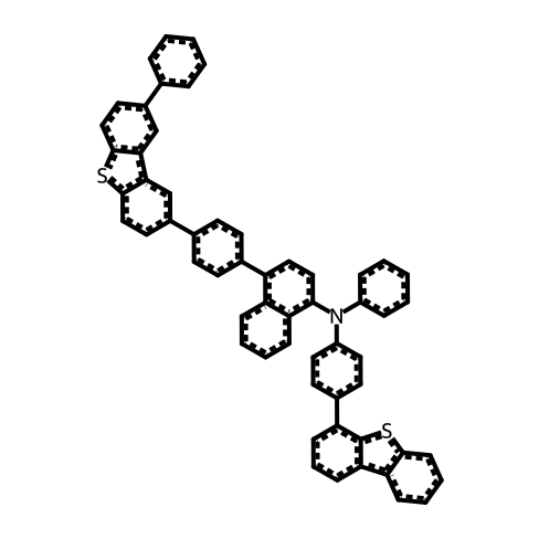 c1ccc(-c2ccc3sc4ccc(-c5ccc(-c6ccc(N(c7ccccc7)c7ccc(-c8cccc9c8sc8ccccc89)cc7)c7ccccc67)cc5)cc4c3c2)cc1